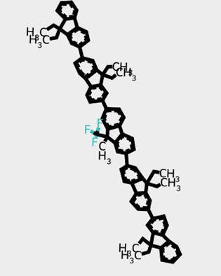 CCC1(CC)c2ccccc2-c2ccc(-c3ccc4c(c3)C(CC)(CC)c3cc(-c5ccc6c(c5)C(C)(C(F)(F)F)c5cc(-c7ccc8c(c7)C(CC)(CC)c7cc(-c9ccc%10c(c9)C(CC)(CC)c9ccccc9-%10)ccc7-8)ccc5-6)ccc3-4)cc21